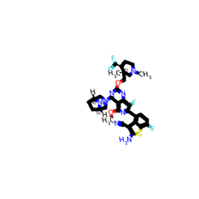 COc1nc(-c2ccc(F)c3sc(N)c(C#N)c23)c(F)c2nc(OC[C@]3(C)CN(C)CC[C@@H]3C(F)F)nc(N3C[C@H]4CC[C@@H](C3)N4)c12